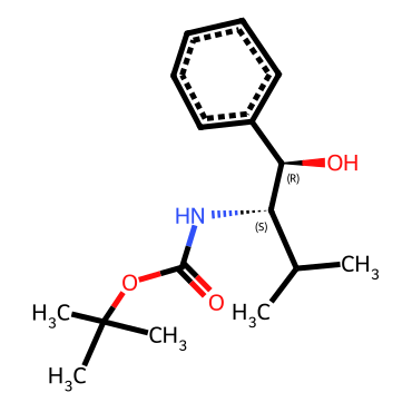 CC(C)[C@H](NC(=O)OC(C)(C)C)[C@H](O)c1ccccc1